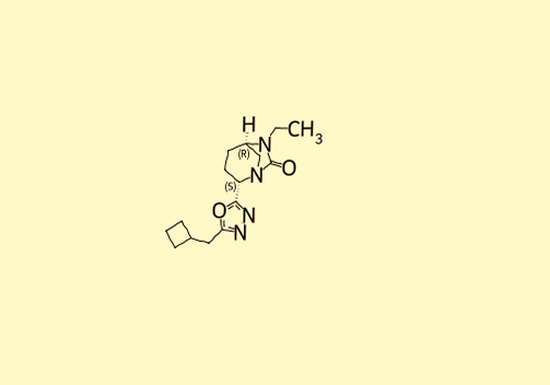 CCN1C(=O)N2C[C@H]1CC[C@H]2c1nnc(CC2CCC2)o1